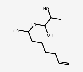 C=CCCCCC(CCC)NC(O)C(C)O